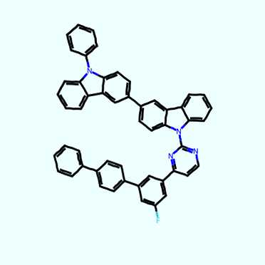 Fc1cc(-c2ccc(-c3ccccc3)cc2)cc(-c2ccnc(-n3c4ccccc4c4cc(-c5ccc6c(c5)c5ccccc5n6-c5ccccc5)ccc43)n2)c1